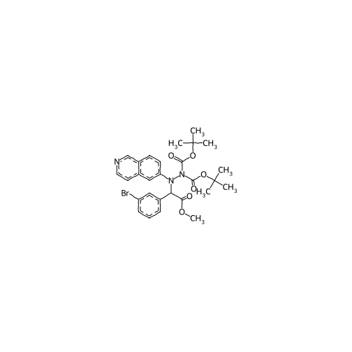 COC(=O)C(c1cccc(Br)c1)N(c1ccc2cnccc2c1)N(C(=O)OC(C)(C)C)C(=O)OC(C)(C)C